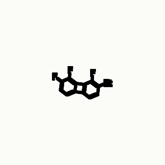 CCc1ccc2c(c1F)-c1c-2ccc(F)c1F